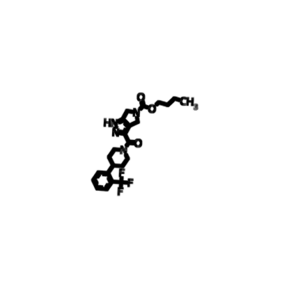 CCCCOC(=O)N1Cc2[nH]nc(C(=O)N3CCC(c4ccccc4C(F)(F)F)CC3)c2C1